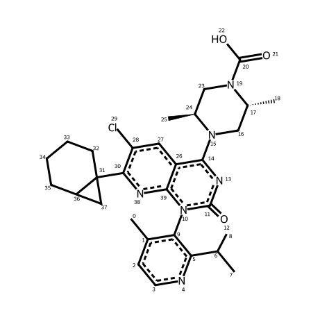 Cc1ccnc(C(C)C)c1-n1c(=O)nc(N2C[C@@H](C)N(C(=O)O)C[C@@H]2C)c2cc(Cl)c(C34CCCCC3C4)nc21